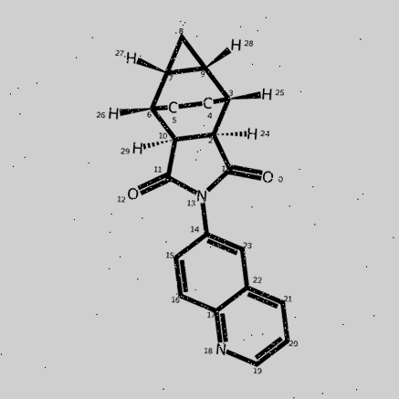 O=C1[C@@H]2[C@@H]3CC[C@@H]([C@@H]4C[C@@H]43)[C@@H]2C(=O)N1c1ccc2ncccc2c1